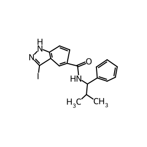 CC(C)C(NC(=O)c1ccc2[nH]nc(I)c2c1)c1ccccc1